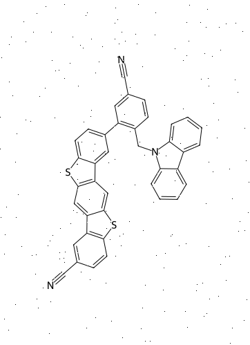 N#Cc1ccc(Cn2c3ccccc3c3ccccc32)c(-c2ccc3sc4cc5c(cc4c3c2)sc2ccc(C#N)cc25)c1